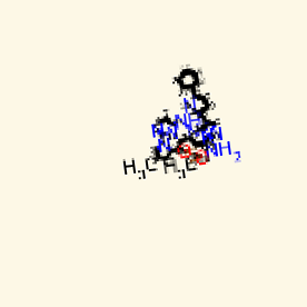 CC1=CN(c2nccc(N)n2)[C@@H](CCc2nc3c(-c4ccc(-c5ccccc5)nc4)cnn3c(N)c2S(C)(=O)=O)C1